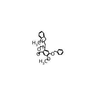 COc1cc(C=O)c(N(C=O)CC2Cc3ccccc3N2C)cc1OCc1ccccc1